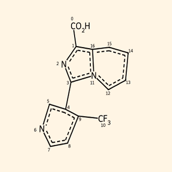 O=C(O)c1nc(-c2cnccc2C(F)(F)F)n2ccccc12